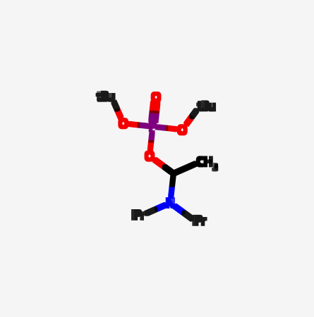 CC(C)N(C(C)C)C(C)OP(=O)(OC(C)(C)C)OC(C)(C)C